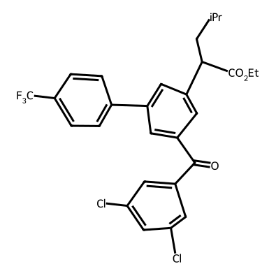 CCOC(=O)C(CC(C)C)c1cc(C(=O)c2cc(Cl)cc(Cl)c2)cc(-c2ccc(C(F)(F)F)cc2)c1